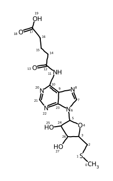 CSCC1OC(n2cnc3c(NC(=O)CCCC(=O)O)ncnc32)C(O)C1O